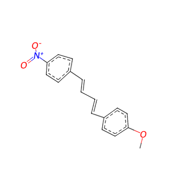 COc1ccc(C=CC=Cc2ccc([N+](=O)[O-])cc2)cc1